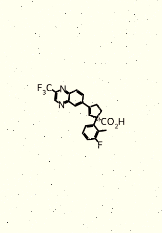 Cc1c(F)cccc1[C@@]1(C(=O)O)C=C(c2ccc3nc(C(F)(F)F)cnc3c2)CC1